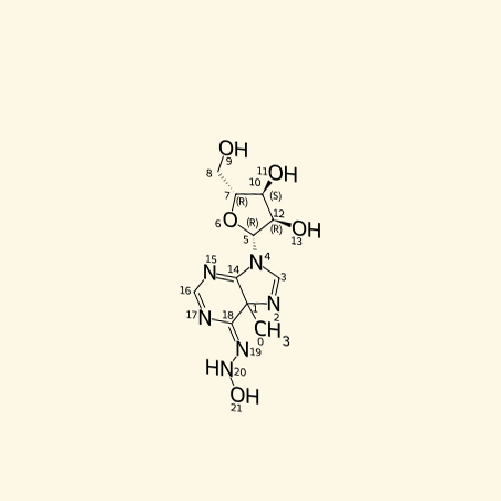 CC12N=CN([C@@H]3O[C@H](CO)[C@@H](O)[C@H]3O)C1=NC=NC2=NNO